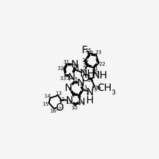 C[C@H](Nc1ncnc2c1ncn2C1CCCCO1)C(=O)Nc1ccc(F)cc1Nc1ncccn1